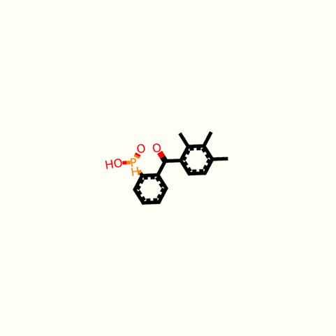 Cc1ccc(C(=O)c2ccccc2[PH](=O)O)c(C)c1C